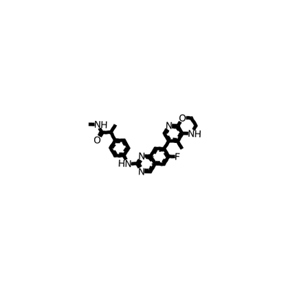 CNC(=O)C(C)c1ccc(Nc2ncc3cc(F)c(-c4cnc5c(c4C)NCCO5)cc3n2)cc1